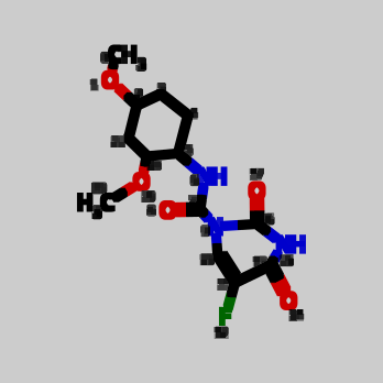 COC1CCC(NC(=O)n2cc(F)c(=O)[nH]c2=O)C(OC)C1